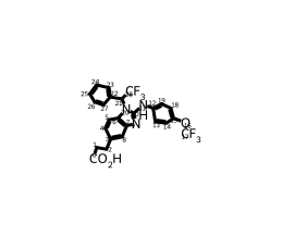 O=C(O)CCc1ccc2c(c1)nc(Nc1ccc(OC(F)(F)F)cc1)n2C(c1ccccc1)C(F)(F)F